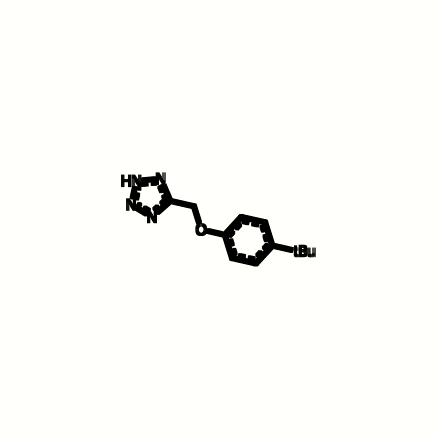 CC(C)(C)c1ccc(OCc2nn[nH]n2)cc1